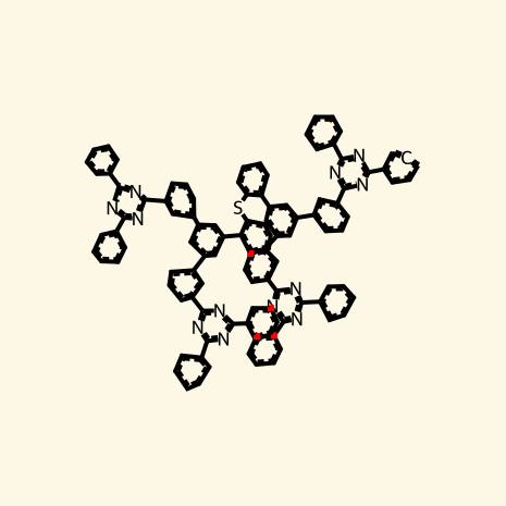 c1ccc(-c2nc(-c3ccccc3)nc(-c3cccc(-c4cc(-c5cccc(-c6nc(-c7ccccc7)nc(-c7ccccc7)n6)c5)cc(-c5ccccc5Sc5ccccc5-c5cc(-c6cccc(-c7nc(-c8ccccc8)nc(-c8ccccc8)n7)c6)cc(-c6cccc(-c7nc(-c8ccccc8)nc(-c8ccccc8)n7)c6)c5)c4)c3)n2)cc1